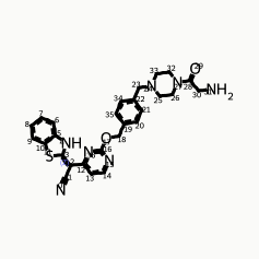 N#C/C(=C1/Nc2ccccc2S1)c1ccnc(OCc2ccc(CN3CCN(C(=O)CN)CC3)cc2)n1